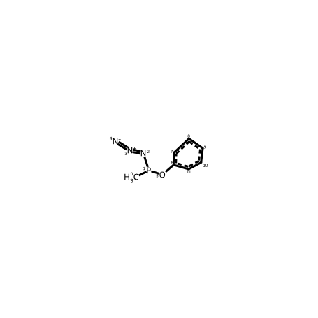 CP(N=[N+]=[N-])Oc1ccccc1